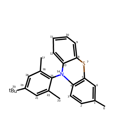 Cc1ccc2c(c1)Sc1ccccc1N2c1c(C)cc(C(C)(C)C)cc1C